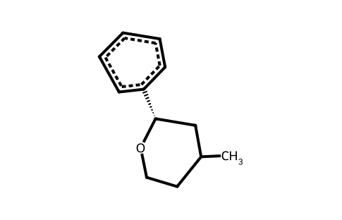 CC1CCO[C@H](c2ccccc2)C1